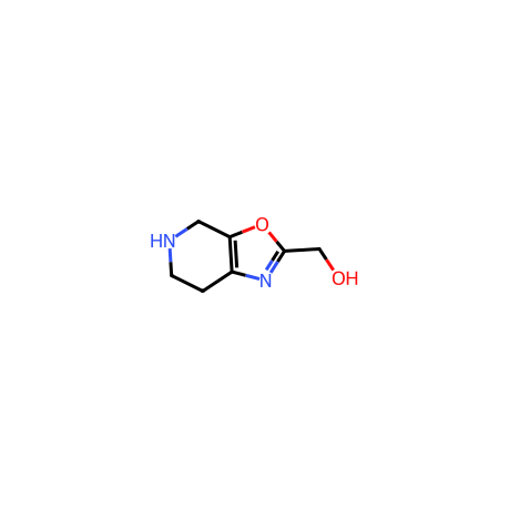 OCc1nc2c(o1)CNCC2